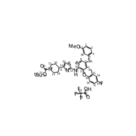 COc1cccc(Sc2cnc(Nc3nc(C4CCN(C(=O)OC(C)(C)C)CC4)cs3)c(Oc3ccc(F)cc3C)c2)c1.O=C(O)C(F)(F)F